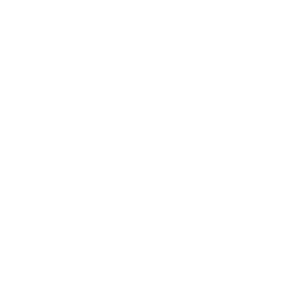 CCOC(C)Oc1cc(C)c(C(C)(C)C)c(C)c1